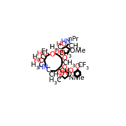 CCCNC[C@]1(O)[C@H](C)O[C@@H](O[C@H]2[C@H](C)[C@@H](O[C@@H]3O[C@H](C)C[C@H](NC)[C@H]3Oc3ccccc3OC(F)(F)F)[C@](C)(O)C[C@@H](C)CN[C@H](C)[C@@H](O)[C@](C)(O)[C@@H](CC)OC(=O)[C@@H]2C)C[C@@]1(C)OC